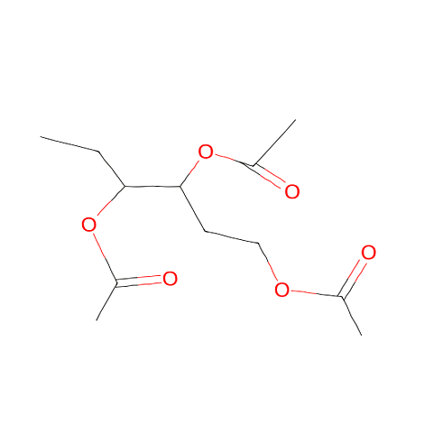 CCC(OC(C)=O)C(CCOC(C)=O)OC(C)=O